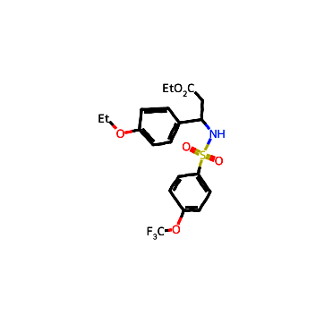 CCOC(=O)CC(NS(=O)(=O)c1ccc(OC(F)(F)F)cc1)c1ccc(OCC)cc1